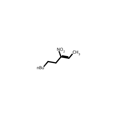 C/C=C(/CCCCCC)[N+](=O)[O-]